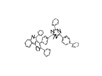 c1ccc(-c2ccc(-c3nc(-c4ccccc4)nc(-c4ccc(-c5c(-c6ccccc6)oc6c5c(-c5ccccc5)nc5ccccc56)cc4)n3)cc2)cc1